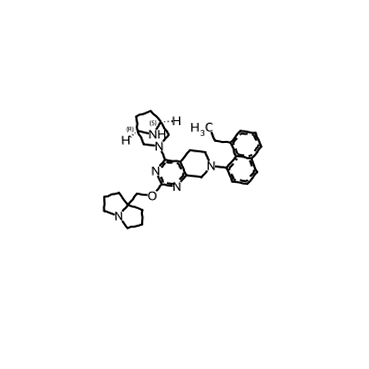 CCc1cccc2cccc(N3CCc4c(nc(OCC56CCCN5CCC6)nc4N4C[C@H]5CC[C@@H](C4)N5)C3)c12